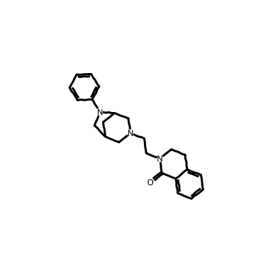 O=C1c2ccccc2CCN1CCN1CC2CC(C1)N(c1ccccc1)C2